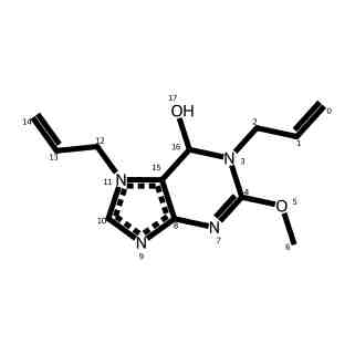 C=CCN1C(OC)=Nc2ncn(CC=C)c2C1O